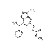 COC(=O)CSc1nc(C(N)c2ccccc2)c2cnn(C)c2n1